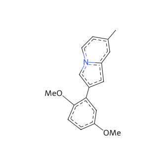 COc1ccc(OC)c(-c2cc3cc(C)ccn3c2)c1